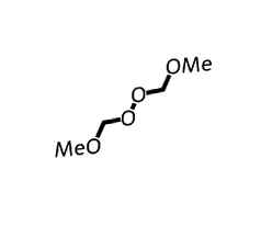 COCOOCOC